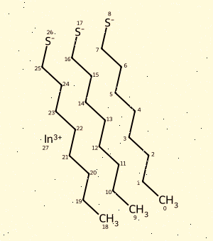 CCCCCCCC[S-].CCCCCCCC[S-].CCCCCCCC[S-].[In+3]